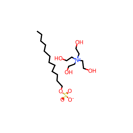 CCCCCCCCCCCCOS(=O)(=O)[O-].OCC[N+](CCO)(CCO)CCO